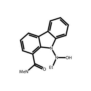 CCN(O)n1c2ccccc2c2cccc(C(=O)NC)c21